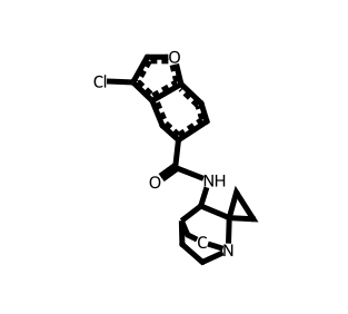 O=C(NC1C2CCN(CC2)C12CC2)c1ccc2occ(Cl)c2c1